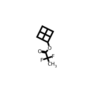 CC(F)(F)C(=O)OC1C2CC3CC4CC1C342